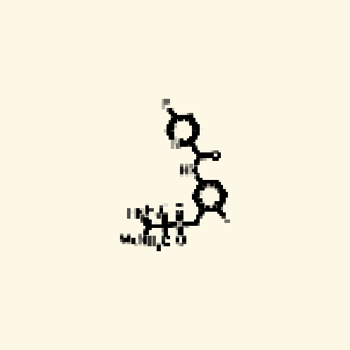 CNC(=N)C(C)(C)S(=O)(=O)Cc1cc(NC(=O)c2ccc(F)cn2)ccc1F